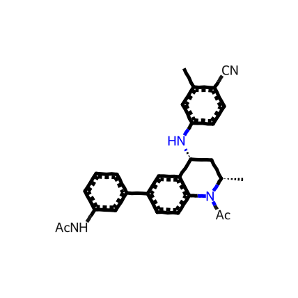 CC(=O)Nc1cccc(-c2ccc3c(c2)[C@H](Nc2ccc(C#N)c(C)c2)C[C@H](C)N3C(C)=O)c1